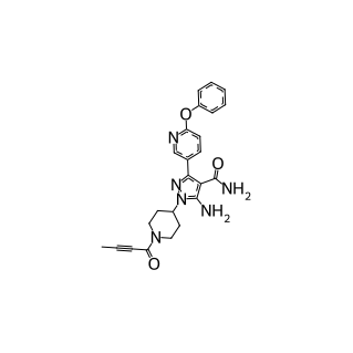 CC#CC(=O)N1CCC(n2nc(-c3ccc(Oc4ccccc4)nc3)c(C(N)=O)c2N)CC1